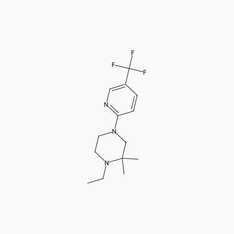 CCN1CCN(c2ccc(C(F)(F)F)cn2)CC1(C)C